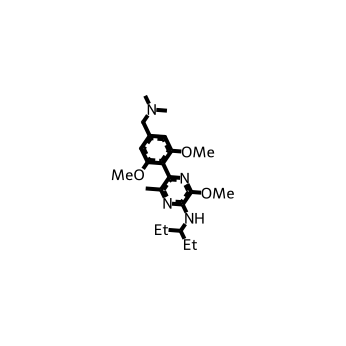 CCC(CC)Nc1nc(C)c(-c2c(OC)cc(CN(C)C)cc2OC)nc1OC